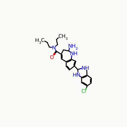 CCCN(CCC)C(=O)C1=Cc2ccc(C3NCc4ccc(Cl)cc4N3)cc2NC(N)C1